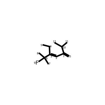 C=C(/C=C(\CC)C(C)(C)F)C(C)C